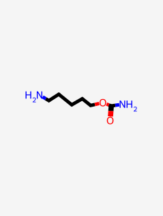 NCCCCCOC(N)=O